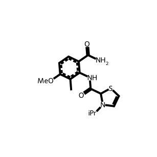 COc1ccc(C(N)=O)c(NC(=O)C2SC=CN2C(C)C)c1C